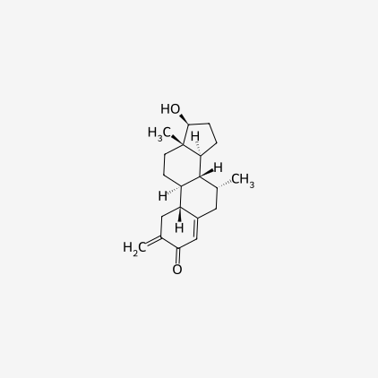 C=C1C[C@H]2C(=CC1=O)C[C@@H](C)[C@@H]1[C@@H]2CC[C@]2(C)[C@@H](O)CC[C@@H]12